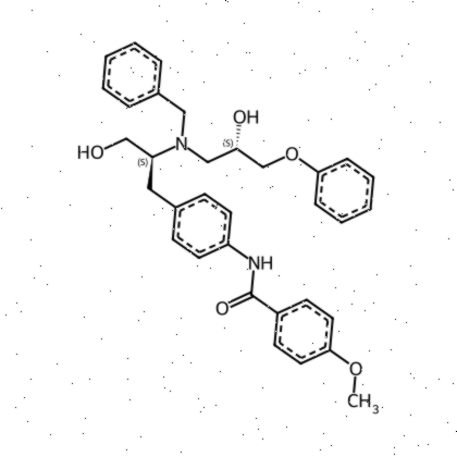 COc1ccc(C(=O)Nc2ccc(C[C@@H](CO)N(Cc3ccccc3)C[C@H](O)COc3ccccc3)cc2)cc1